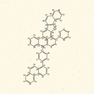 c1ccc(-c2ccc(N(c3ccc(-c4cccc5c4ccc4ccccc45)cc3)c3ccccc3-c3ccc4oc5c6ccccc6ccc5c4c3)cc2)cc1